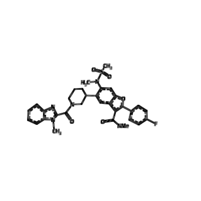 CNC(=O)c1c(-c2ccc(F)cc2)oc2cc(N(C)S(C)(=O)=O)c(C3CCCN(C(=O)c4nc5ccccc5n4C)C3)cc12